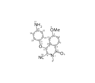 COc1ccc2c(=O)n(C)c(C#N)c(Oc3ccc(N)cc3)c2c1